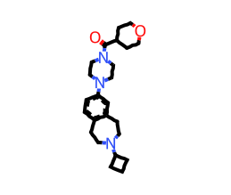 O=C(C1CCOCC1)N1CCN(c2ccc3c(c2)CCN(C2CCC2)CC3)CC1